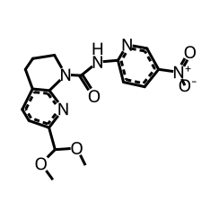 COC(OC)c1ccc2c(n1)N(C(=O)Nc1ccc([N+](=O)[O-])cn1)CCC2